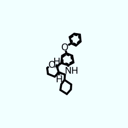 c1ccc(Oc2ccc3c(c2)[C@H]2OCCC[C@H]2C(C2CCCCC2)N3)cc1